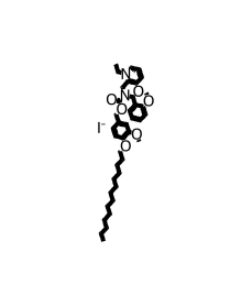 CCCCCCCCCCCCCCOc1ccc(COC(=O)N(Cc2cccc[n+]2CC)C(=O)c2ccccc2OC)cc1OC.[I-]